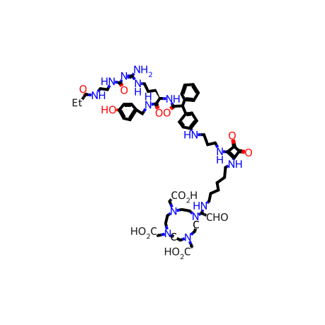 CCC(=O)NCCNC(=O)/N=C(/N)NCCC[C@@H](NC(=O)C(c1ccccc1)c1ccc(NCCCNc2c(NCCCCCCNC(C=O)N3CCN(CC(=O)O)CCN(CC(=O)O)CCN(CC(=O)O)CC3)c(=O)c2=O)cc1)C(=O)NCc1ccc(O)cc1